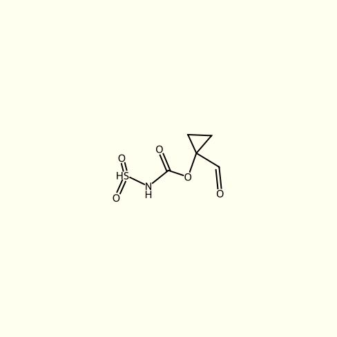 O=CC1(OC(=O)N[SH](=O)=O)CC1